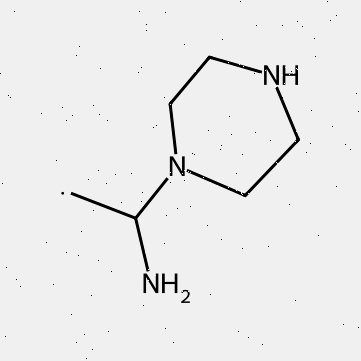 [CH2]C(N)N1CCNCC1